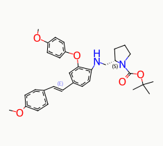 COc1ccc(/C=C/c2ccc(NC[C@@H]3CCCN3C(=O)OC(C)(C)C)c(Oc3ccc(OC)cc3)c2)cc1